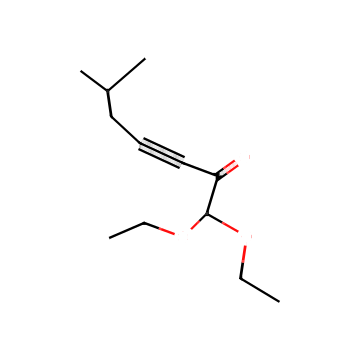 CCOC(OCC)C(=O)C#CCC(C)C